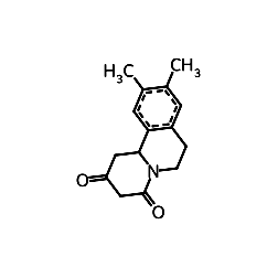 Cc1cc2c(cc1C)C1CC(=O)CC(=O)N1CC2